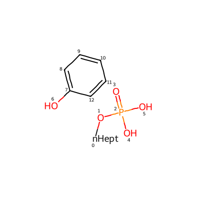 CCCCCCCOP(=O)(O)O.Oc1ccccc1